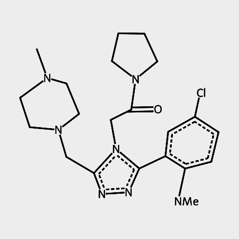 CNc1ccc(Cl)cc1-c1nnc(CN2CCN(C)CC2)n1CC(=O)N1CCCC1